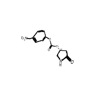 O=C1C[C@@H](OC(=O)Oc2ccc([N+](=O)[O-])cc2)CN1